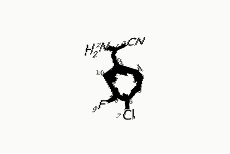 N#CC(N)c1ccc(Cl)c(F)c1